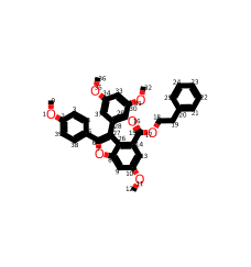 COc1ccc(-c2oc3cc(OC)cc(C(=O)OCCc4ccccc4)c3c2-c2cc(OC)cc(OC)c2)cc1